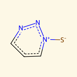 [S-][n+]1cccnn1